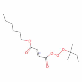 CCCCCCOC(=O)/C=C/C(=O)OOOC(C)(C)CC